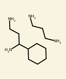 NCCC(N)C1CCCCC1.NCCCN